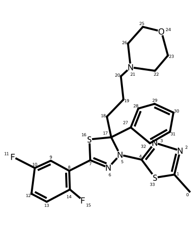 Cc1nnc(N2N=C(c3cc(F)ccc3F)SC2(CCCN2CCOCC2)c2ccccc2)s1